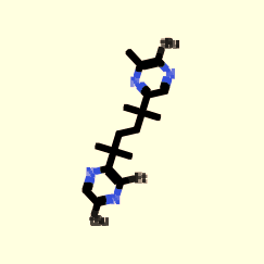 CCc1nc(C(C)(C)C)cnc1C(C)(C)CCC(C)(C)c1cnc(C(C)(C)C)c(C)n1